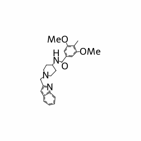 COc1cc(C(=O)NC2CCN(Cc3cc4ccccc4n3C)CC2)cc(OC)c1C